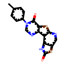 Cc1ccc(-n2cnc3c(sc4ncc5sc(=O)[nH]c5c43)c2=O)cc1